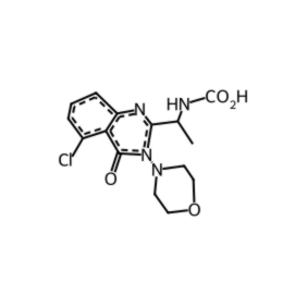 CC(NC(=O)O)c1nc2cccc(Cl)c2c(=O)n1N1CCOCC1